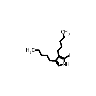 CCCCCc1c[nH]c(I)c1CCCCC